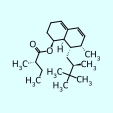 CC[C@H](C)C(=O)O[C@H]1CCC=C2C=C[C@H](C)[C@H](C[C@@H](C)C(C)(C)C)[C@H]21